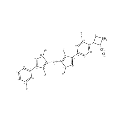 C1C[SiH2]C1.CC1=[C]([Zr+2][C]2=C(C)C(c3cccc(F)c3)=CC2C)C(C)C=C1c1cccc(F)c1.[Cl-].[Cl-]